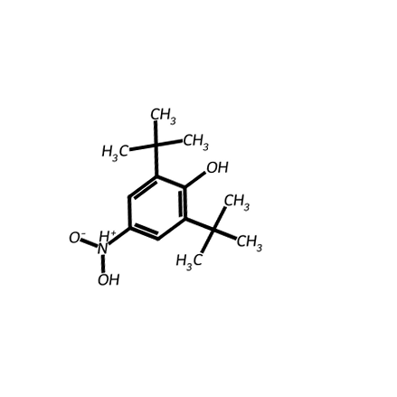 CC(C)(C)c1cc([NH+]([O-])O)cc(C(C)(C)C)c1O